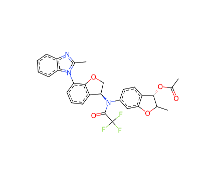 CC(=O)O[C@H]1c2ccc(N(C(=O)C(F)(F)F)[C@@H]3COc4c3cccc4-n3c(C)nc4ccccc43)cc2OC1C